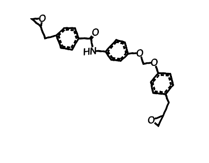 O=C(Nc1ccc(OCOc2ccc(CC3CO3)cc2)cc1)c1ccc(CC2CO2)cc1